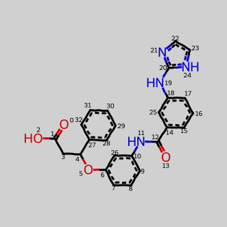 O=C(O)CC(Oc1cccc(NC(=O)c2cccc(Nc3ncc[nH]3)c2)c1)c1ccccc1